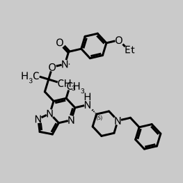 CCOc1ccc(C(=O)[N]OC(C)(C)Cc2c(C)c(N[C@H]3CCCN(Cc4ccccc4)C3)nc3ccnn23)cc1